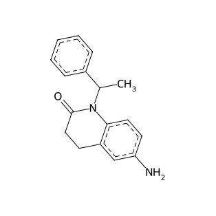 CC(c1ccccc1)N1C(=O)CCc2cc(N)ccc21